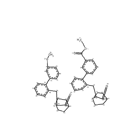 COC(=O)c1cccc(-c2ccccc2CC2C(=O)C3CCN2CC3)c1.COc1cccc(-c2ccccc2CC2C(=O)C3CCN2CC3)c1